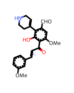 COc1cccc(/C=C/C(=O)c2c(OC)cc(C=O)c(C3=CCNCC3)c2O)c1